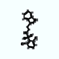 O=S(=O)(NCCc1c[nH]c2ccccc12)c1c(Cl)cccc1Cl